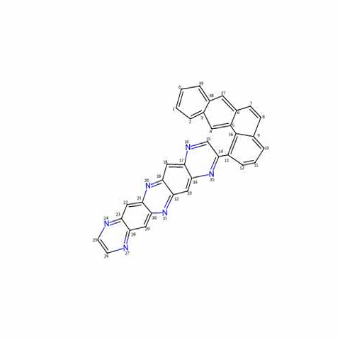 c1ccc2cc3c(ccc4cccc(-c5cnc6cc7nc8cc9nccnc9cc8nc7cc6n5)c43)cc2c1